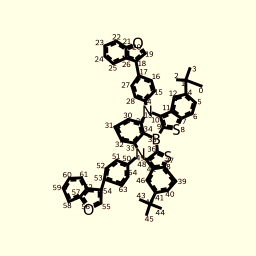 CC(C)(C)c1ccc2sc3c(c2c1)N(c1ccc(-c2coc4ccccc24)cc1)c1cccc2c1B3c1sc3ccc(C(C)(C)C)cc3c1N2c1ccc(-c2coc3ccccc23)cc1